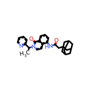 CC(c1ccccn1)n1ccc2c(NC(=O)CC34CC5CC(CC(C5)C3)C4)cccc2c1=O